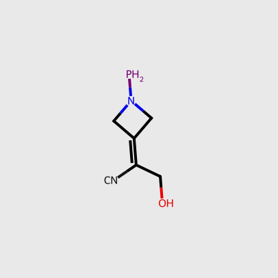 [C-]#[N+]C(CO)=C1CN(P)C1